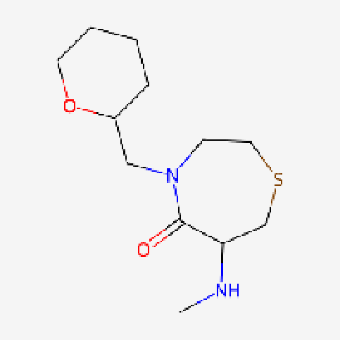 CNC1CSCCN(CC2CCCCO2)C1=O